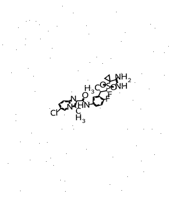 Cc1c(C(=O)Nc2ccc(F)c([C@H](C)[C@@H](F)S(=O)(=O)C3(C(=N)N)CC3)c2)nc2ccc(Cl)cn12